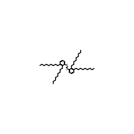 CCCCCCCCCc1cccc(SSc2cccc(CCCCCCCCC)c2CCCCCCCCC)c1CCCCCCCCC